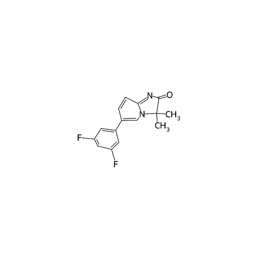 CC1(C)C(=O)N=C2C=CC(c3cc(F)cc(F)c3)=CN21